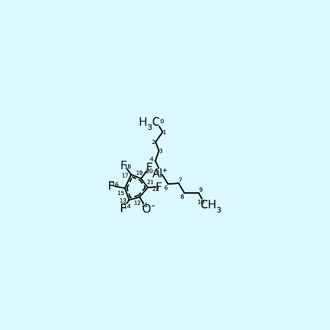 CCCC[CH2][Al+][CH2]CCCC.[O-]c1c(F)c(F)c(F)c(F)c1F